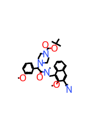 COc1cccc(C(C(=O)N(C)Cc2c(OC)c(C#N)cc3ccccc23)N2CCN(C(=O)OC(C)(C)C)CC2)c1